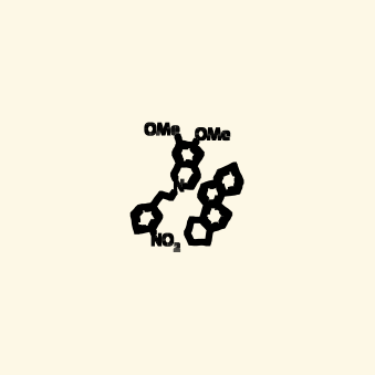 COc1cc2c(cc1OC)CN(CCc1cccc([N+](=O)[O-])c1)C=C2.c1ccc2c(c1)ccc1c3c(ccc12)CCCC3